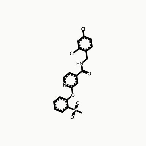 CS(=O)(=O)c1ccccc1Oc1cc(C(=O)NCc2ccc(Cl)cc2Cl)ccn1